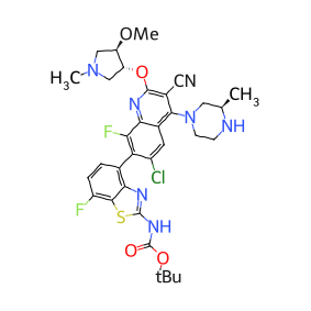 CO[C@@H]1CN(C)C[C@H]1Oc1nc2c(F)c(-c3ccc(F)c4sc(NC(=O)OC(C)(C)C)nc34)c(Cl)cc2c(N2CCN[C@H](C)C2)c1C#N